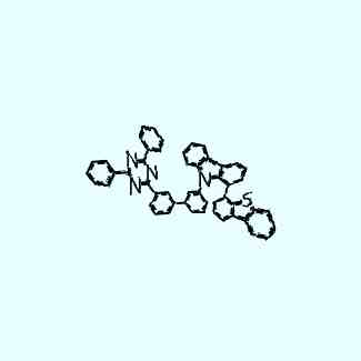 c1ccc(-c2nc(-c3ccccc3)nc(-c3cccc(-c4cccc(-n5c6ccccc6c6cccc(-c7cccc8c7sc7ccccc78)c65)c4)c3)n2)cc1